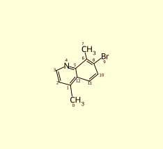 Cc1ccnc2c(C)c(Br)ccc12